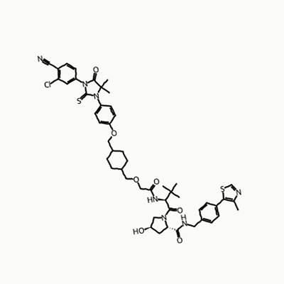 Cc1ncsc1-c1ccc(CNC(=O)[C@@H]2C[C@@H](O)CN2C(=O)[C@@H](NC(=O)COCC2CCC(COc3ccc(N4C(=S)N(c5ccc(C#N)c(Cl)c5)C(=O)C4(C)C)cc3)CC2)C(C)(C)C)cc1